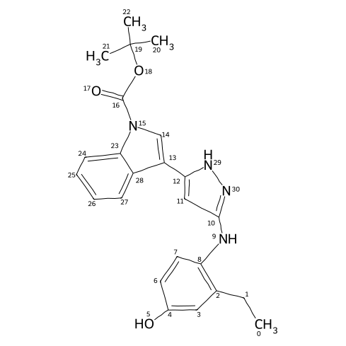 CCc1cc(O)ccc1Nc1cc(-c2cn(C(=O)OC(C)(C)C)c3ccccc23)[nH]n1